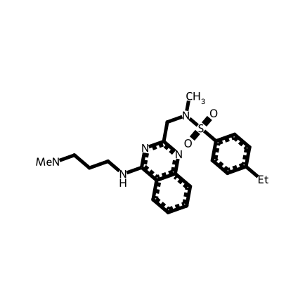 CCc1ccc(S(=O)(=O)N(C)Cc2nc(NCCCNC)c3ccccc3n2)cc1